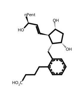 CCCCC[C@H](O)/C=C/[C@@H]1[C@@H](Cc2ccccc2CCCC(=O)O)[C@@H](O)C[C@H]1O